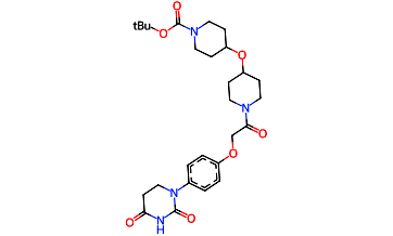 CC(C)(C)OC(=O)N1CCC(OC2CCN(C(=O)COc3ccc(N4CCC(=O)NC4=O)cc3)CC2)CC1